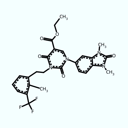 CCOC(=O)c1cn(-c2ccc3c(c2)n(C)c(=O)n3C)c(=O)n(CCc2cccc(C(F)(F)F)c2C)c1=O